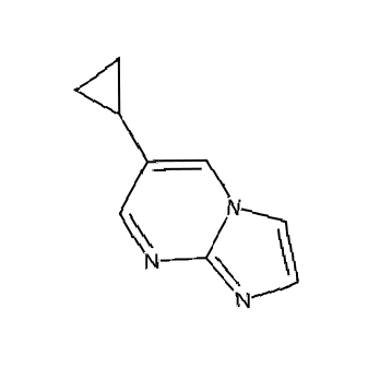 c1cn2cc(C3CC3)cnc2n1